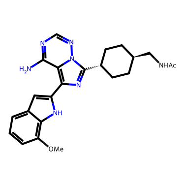 COc1cccc2cc(-c3nc([C@H]4CC[C@H](CNC(C)=O)CC4)n4ncnc(N)c34)[nH]c12